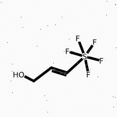 OC/C=C/S(F)(F)(F)(F)F